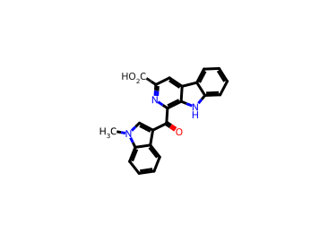 Cn1cc(C(=O)c2nc(C(=O)O)cc3c2[nH]c2ccccc23)c2ccccc21